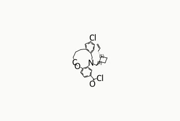 C=CC[C@@H]1CC[C@H]1CN1Cc2ccc(Cl)cc2CCCCOc2ccc(C(=O)Cl)cc21